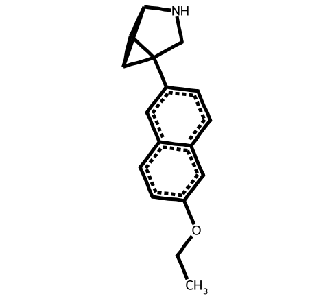 CCOc1ccc2cc(C34CNC5C3C54)ccc2c1